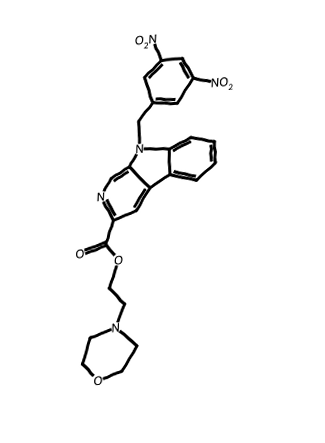 O=C(OCCN1CCOCC1)c1cc2c3ccccc3n(Cc3cc([N+](=O)[O-])cc([N+](=O)[O-])c3)c2cn1